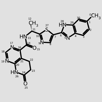 Cc1ccc2nc(-c3cnc([C@@H](C)NC(=O)c4ncnc5c4CCC(=O)N5)s3)[nH]c2c1